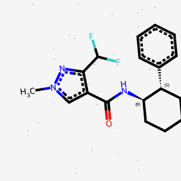 Cn1cc(C(=O)N[C@@H]2CCCC[C@H]2c2ccccc2)c(C(F)F)n1